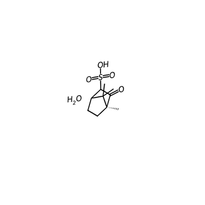 CC1(C)C2CC[C@]1(C)C(=O)C2S(=O)(=O)O.O